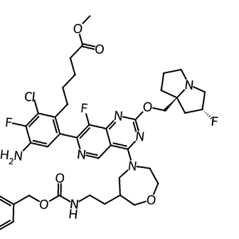 COC(=O)CCCCc1c(-c2ncc3c(N4CCOCC(CCNC(=O)OCc5ccccc5)C4)nc(OC[C@@]45CCCN4C[C@H](F)C5)nc3c2F)cc(N)c(F)c1Cl